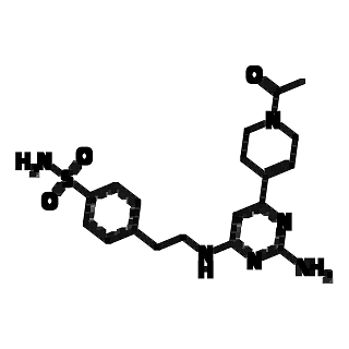 CC(=O)N1CC=C(c2cc(NCCc3ccc(S(N)(=O)=O)cc3)nc(N)n2)CC1